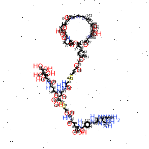 CO[C@H]1C[C@@H]2CC[C@@H](C)[C@@](O)(O2)C(=O)C(=O)N2CCCC[C@H]2C(=O)O[C@H]([C@H](C)C[C@@H]2CC[C@@H](OCCOC(=O)CCCSSCCC(=O)NC[C@H](NC(=O)[C@@H](C)CCC(=O)NC[C@H](O)[C@@H](O)[C@H](O)[C@H](O)CO)C(=O)C[C@@H](CSSCCOC(=O)NCC(=O)CC[C@H](NC(=O)c3ccc(NCc4cnc5nc(N)[nH]c(=N)c5n4)cc3)C(=O)O)C(=O)O)[C@H](C)C2)CC(=O)[C@H](C)/C=C(\C)[C@@H](O)[C@@H](OC)C(=O)[C@H](C)C[C@H](C)/C=C/C=C/C=C/1C